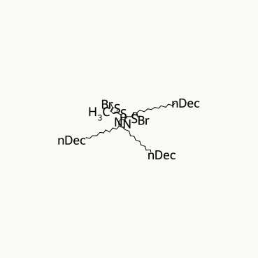 CCCCCCCCCCCCCCCCCCCCc1cc(-c2sc(-c3cc(C)c(Br)s3)c3nc(CCCCCCCCCCCCCCCCCCCC)c(CCCCCCCCCCCCCCCCCCCC)nc23)sc1Br